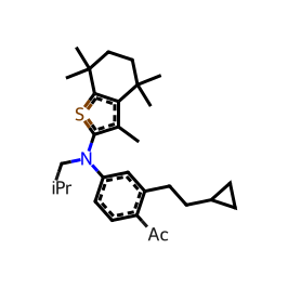 CC(=O)c1ccc(N(CC(C)C)c2sc3c(c2C)C(C)(C)CCC3(C)C)cc1CCC1CC1